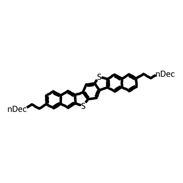 CCCCCCCCCCCCc1ccc2cc3c(cc2c1)sc1cc2c(cc13)sc1cc3cc(CCCCCCCCCCCC)ccc3cc12